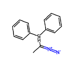 CC(=[N+]=[N-])[SiH](c1ccccc1)c1ccccc1